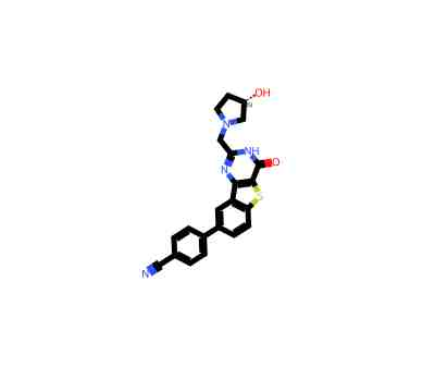 N#Cc1ccc(-c2ccc3sc4c(=O)[nH]c(CN5CC[C@H](O)C5)nc4c3c2)cc1